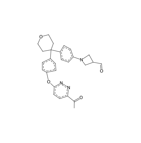 CC(=O)c1ccc(Oc2ccc(C3(c4ccc(N5CC(C=O)C5)cc4)CCOCC3)cc2)nn1